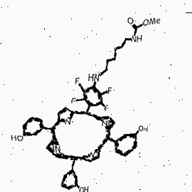 COC(=O)NCCCCCCNc1c(F)c(F)c(-c2c3nc(c(-c4cccc(O)c4)c4ccc([nH]4)c(-c4cccc(O)c4)c4nc(c(-c5cccc(O)c5)c5ccc2[nH]5)C=C4)C=C3)c(F)c1F